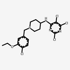 CCOc1cc(CN2CCC(Nc3nc(Cl)nc(Cl)c3Cl)CC2)ccc1Cl